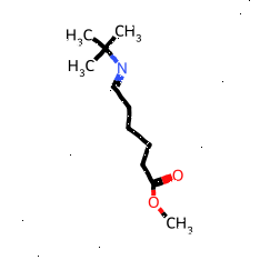 COC(=O)CCCCC=NC(C)(C)C